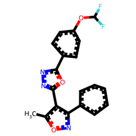 Cc1onc(-c2ccccc2)c1-c1nnc(-c2ccc(OC(F)F)cc2)o1